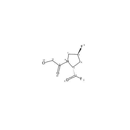 O=C(F)[C@H]1C[C@H](F)CN1C(=O)CCl